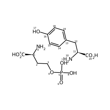 N[C@@H](CCOP(=O)(O)O)C(=O)O.N[C@@H](Cc1ccc(O)cc1)C(=O)O